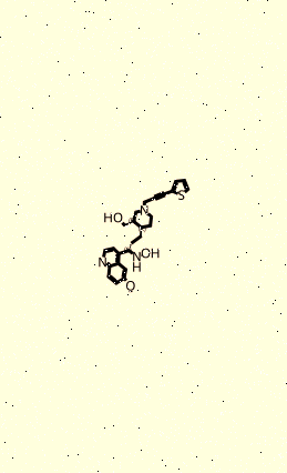 COc1ccc2nccc([C@H](CC[C@@H]3CCN(CC#Cc4cccs4)C[C@@H]3CO)NO)c2c1